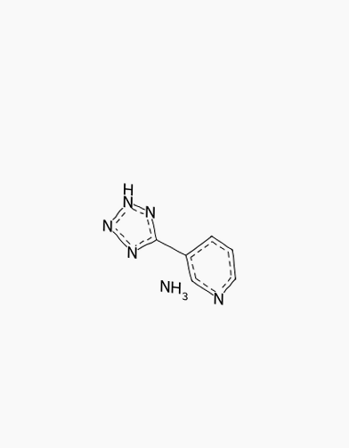 N.c1cncc(-c2nn[nH]n2)c1